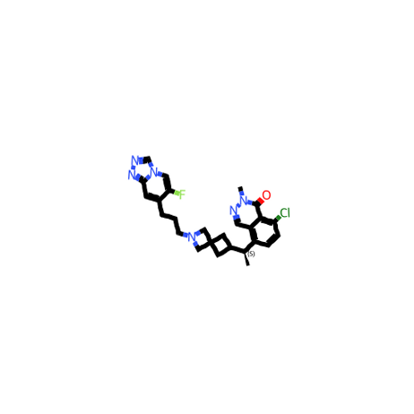 C[C@H](c1ccc(Cl)c2c(=O)n(C)ncc12)C1CC2(C1)CN(CCCc1cc3nncn3cc1F)C2